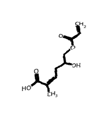 C=CC(=O)OCC(O)CC=C(C)C(=O)O